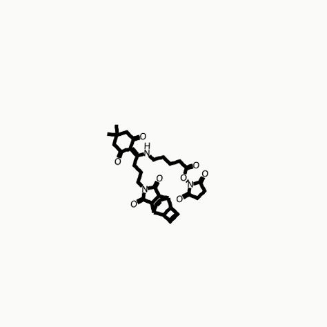 CC1(C)CC(=O)C(=C(CCCN2C(=O)C3C4C=CC(C5C=CC54)C3C2=O)NCCCCC(=O)ON2C(=O)CCC2=O)C(=O)C1